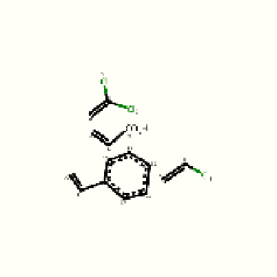 C=C(Cl)Cl.C=CC(=O)O.C=CCl.C=Cc1ccccc1